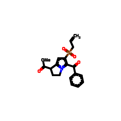 C=CCS(=O)(=O)c1cc2n(c1C(=O)c1ccccc1)CCC2C(=O)OC